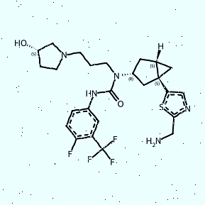 NCc1ncc([C@@]23C[C@H](N(CCCN4CC[C@H](O)C4)C(=O)Nc4ccc(F)c(C(F)(F)F)c4)C[C@@H]2C3)s1